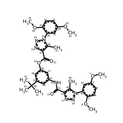 COc1ccc(OC)c(-n2nnc(C(=O)Nc3cc(OC(=O)c4nnn(-c5cc(OC)ccc5OC)c4C)cc(C(C)(C)C)c3)c2C)c1